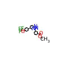 CCOC(=O)c1cccc(-c2nnc3ccc(-c4ccc(OC(F)(F)F)cc4)cn23)c1